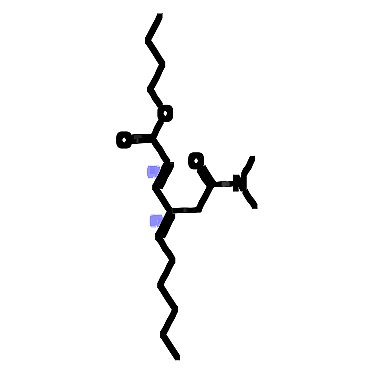 CCCCC/C=C(/C=C/C(=O)OCCCC)CC(=O)N(C)C